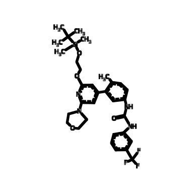 Cc1ccc(NC(=O)Nc2cccc(C(F)(F)F)c2)cc1-c1cc(OCCO[Si](C)(C)C(C)(C)C)nc(N2CCOCC2)c1